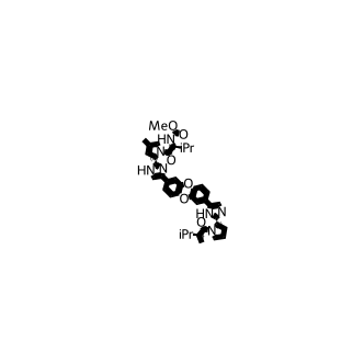 COC(=O)N[C@H](C(=O)N1CC(C)=C[C@H]1c1nc(-c2ccc3c(c2)Oc2ccc(-c4cnc([C@@H]5CCCN5C(=O)[C@@H](C)C(C)C)[nH]4)cc2O3)c[nH]1)C(C)C